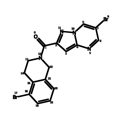 O=C(c1cc2ncc(Br)cn2n1)N1CCc2c(Br)cccc2C1